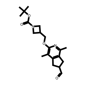 Cc1nc(OCC2CN(C(=O)OC(C)(C)C)C2)c(C)c2c1CC(C=O)C2